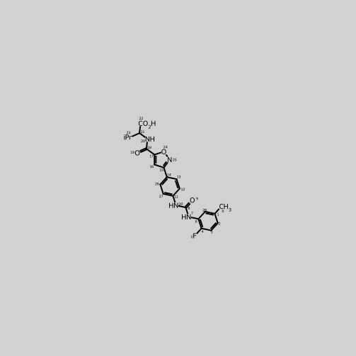 Cc1ccc(F)c(NC(=O)Nc2ccc(-c3cc(C(=O)NC(C(=O)O)C(C)C)on3)cc2)c1